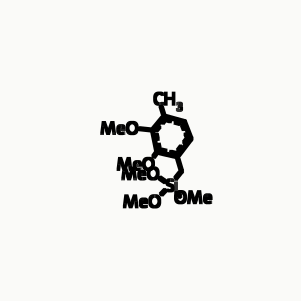 COc1c(C)ccc(C[Si](OC)(OC)OC)c1OC